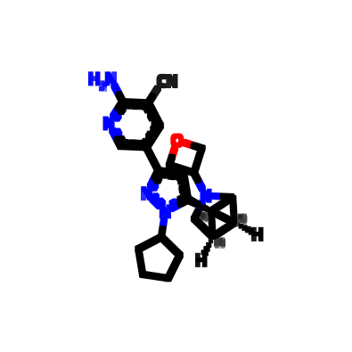 N#Cc1cc(-c2cc([C@@]34C5[C@H]3[C@H]4CN5C3COC3)n(C3CCCC3)n2)cnc1N